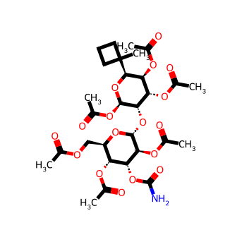 CC(=O)OC[C@H]1O[C@H](O[C@@H]2[C@@H](OC(C)=O)O[C@@H](C3(C)CCC3)[C@@H](OC(C)=O)[C@@H]2OC(C)=O)[C@@H](OC(C)=O)[C@H](OC(N)=O)[C@@H]1OC(C)=O